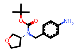 CC(C)(C)OC(=O)N(Cc1ccc(N)cc1)[C@@H]1CCOC1